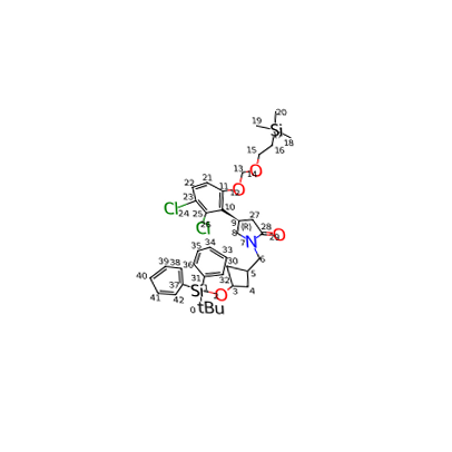 CC(C)(C)[Si](OC1CC(CN2C[C@@H](c3c(OCOCC[Si](C)(C)C)ccc(Cl)c3Cl)CC2=O)C1)(c1ccccc1)c1ccccc1